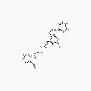 N#Cc1ccccc1OCCCCNc1nc(Cl)nc2c1CCC2c1ccccc1